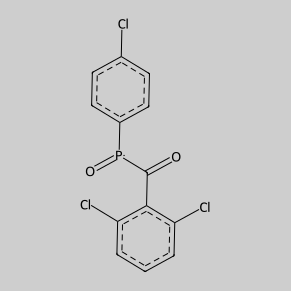 O=C(c1c(Cl)cccc1Cl)[P](=O)c1ccc(Cl)cc1